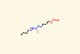 CCCCCN[N+]([O-])=NCCCCOOO